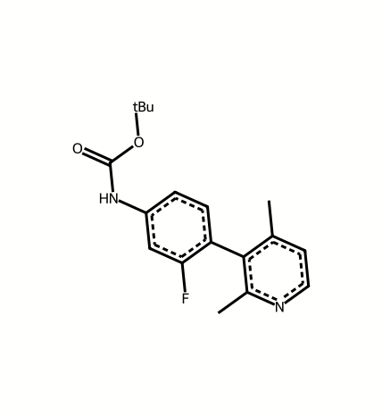 Cc1ccnc(C)c1-c1ccc(NC(=O)OC(C)(C)C)cc1F